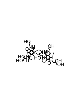 O=CN(CC(O)C(O)CN(C=O)c1c(I)c(C(=O)NCCO)c(I)c(C(=O)NCC(O)CO)c1I)c1c(I)c(C(=O)CCC(O)CO)c(I)c(C(=O)NCCO)c1I